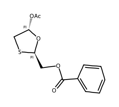 CC(=O)O[C@H]1CS[C@H](COC(=O)c2ccccc2)O1